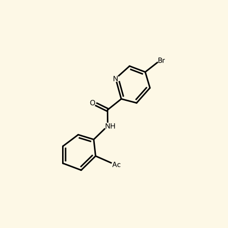 CC(=O)c1ccccc1NC(=O)c1ccc(Br)cn1